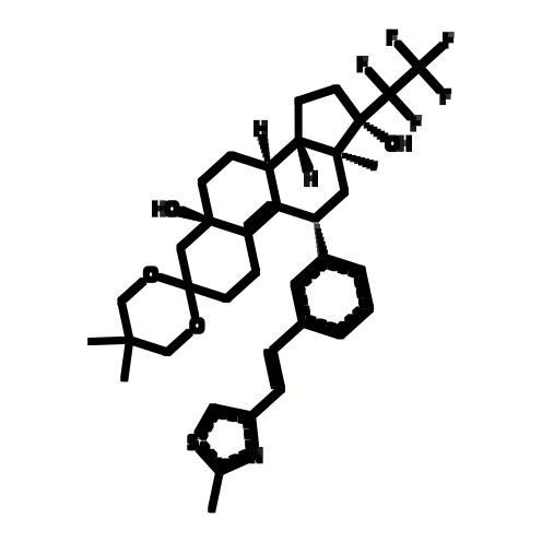 Cc1nc(C=Cc2cccc([C@H]3C[C@@]4(C)[C@@H](CC[C@@]4(O)C(F)(F)C(F)(F)F)[C@@H]4CC[C@@]5(O)CC6(CCC5=C43)OCC(C)(C)CO6)c2)cs1